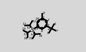 Cc1cc(C(C)(C)C)cc(S(C(C)C)(C(C)C)C(C)C)c1